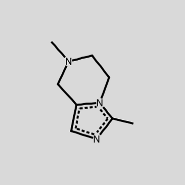 Cc1ncc2n1CCN(C)C2